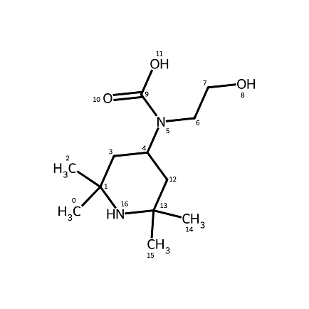 CC1(C)CC(N(CCO)C(=O)O)CC(C)(C)N1